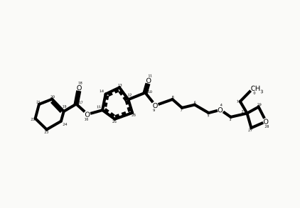 CCC1(COCCCCOC(=O)c2ccc(OC(=O)C3=CCCCC3)cc2)COC1